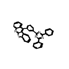 c1ccc(-c2nc(-c3ccccc3)nc(-c3cccc(-c4c5ccccc5nc5sc6ccccc6c45)c3)n2)cc1